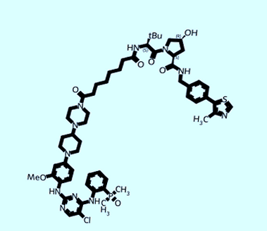 COc1cc(N2CCC(N3CCN(C(=O)CCCCCCC(=O)N[C@H](C(=O)N4C[C@H](O)C[C@H]4C(=O)NCc4ccc(-c5scnc5C)cc4)C(C)(C)C)CC3)CC2)ccc1Nc1ncc(Cl)c(Nc2ccccc2P(C)(C)=O)n1